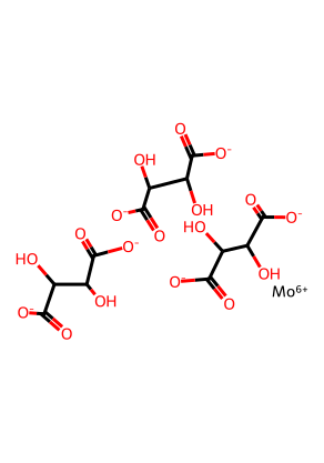 O=C([O-])C(O)C(O)C(=O)[O-].O=C([O-])C(O)C(O)C(=O)[O-].O=C([O-])C(O)C(O)C(=O)[O-].[Mo+6]